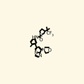 Cc1ccc(NC(=O)N2CCC(C(C)(C)C(F)(F)F)C2)cc1-c1cc(N2CCOCC2)c2nccn2c1